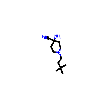 CC(C)(C)CCN1CCC(N)(C#N)CC1